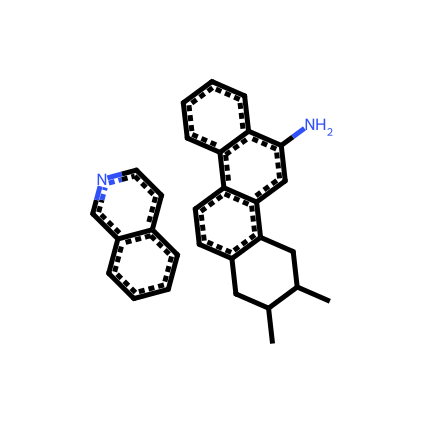 CC1Cc2ccc3c(cc(N)c4ccccc43)c2CC1C.c1ccc2cnccc2c1